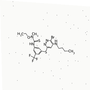 CCCCNc1cc(Sc2cc(NC(=S)N(C)OCC)cc(C(F)(F)F)c2)nnc1Br